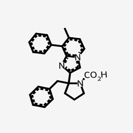 Cc1ccn2cc(C3(Cc4ccccc4)CCCN3C(=O)O)nc2c1-c1ccccc1